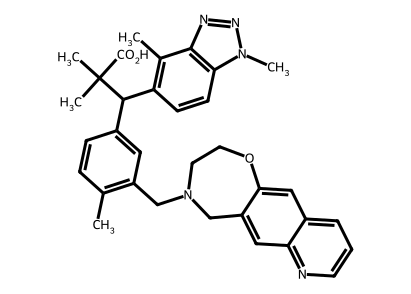 Cc1ccc(C(c2ccc3c(nnn3C)c2C)C(C)(C)C(=O)O)cc1CN1CCOc2cc3cccnc3cc2C1